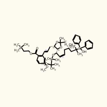 COc1ccc(C(=O)OCC[Si](C)(C)C)c(/C=C/C[C@@H]2OC(C)(C)O[C@@H]2C(/C=C\C[C@H](C)CC(C)(C)[Si](O)(c2ccccc2)c2ccccc2)O[Si](C)(C)C(C)(C)C)c1